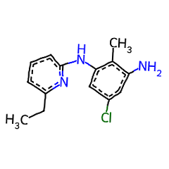 CCc1cccc(Nc2cc(Cl)cc(N)c2C)n1